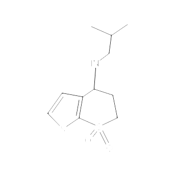 CC(C)CNC1CCS(=O)(=O)c2sccc21